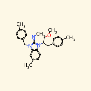 CN=c1n(Cc2ccc(C)cc2)c2cc(C)ccc2n1C(COC)Cc1ccc(C)cc1